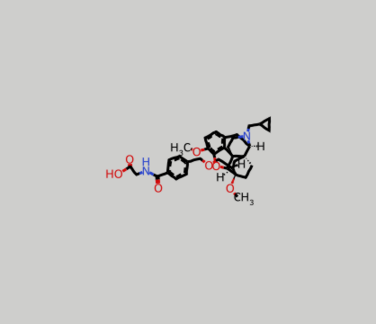 COc1ccc2c3c1O[C@H]1[C@@]4(OC)CC[C@@]5(C[C@@H]4COCc4ccc(C(=O)NCC(=O)O)cc4)[C@@H](C2)N(CC2CC2)CC[C@]315